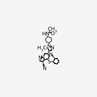 CC(=O)NC1CCC(n2ncc(-c3cc(Sc4ccccc4C#N)c4c(C#N)cnn4c3)c2C)CC1